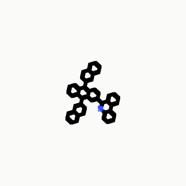 c1ccc2cc(-c3c4ccccc4c(-c4ccc5ccccc5c4)c4cc(-c5nc6ccccc6c6ccccc56)ccc34)ccc2c1